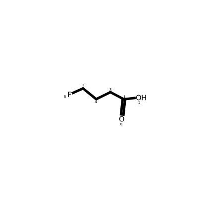 O=C(O)CCCF